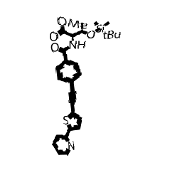 COC(=O)[C@H](NC(=O)c1ccc(C#Cc2ccc(-c3ccccn3)s2)cc1)[C@@H](C)O[Si](C)(C)C(C)(C)C